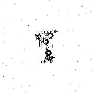 CCCS(=O)(=O)Nc1ccc(CNc2cc(N3CCC(O)CC3)nc(Nc3nc(C)c(C(=O)OCC)s3)n2)cc1